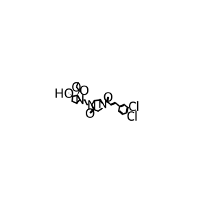 COC(=O)[C@@H]1[C@@H](O)CCN1CCN1CCN(C(=O)C=Cc2ccc(Cl)c(Cl)c2)CCC1=O